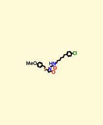 COc1ccc(CSC2CC(=O)N2CC(=O)NCCCCCCc2ccc(Cl)cc2)cc1